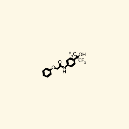 O=C(COc1ccccc1)Nc1ccc(C(O)(C(F)(F)F)C(F)(F)F)cc1